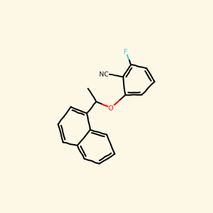 CC(Oc1cccc(F)c1C#N)c1cccc2ccccc12